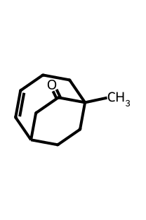 CC12CC/C=C\C(CC1)CC2=O